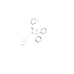 C/C(=C\c1cccnc1)[C@H](CCO[Si](C)(C)C(C)(C)C)O[Si](c1ccccc1)(c1ccccc1)C(C)(C)C